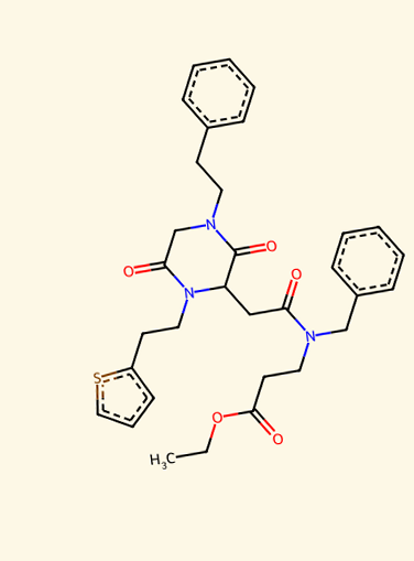 CCOC(=O)CCN(Cc1ccccc1)C(=O)CC1C(=O)N(CCc2ccccc2)CC(=O)N1CCc1cccs1